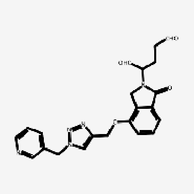 O=CCCC(C=O)N1Cc2c(OCc3cn(Cc4cccnc4)nn3)cccc2C1=O